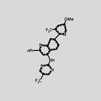 CCCc1cc(Nc2ncc(C(F)(F)F)cn2)c2ccc(-c3ncc(OC)cc3C(F)(F)F)cc2n1